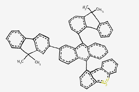 CC1(C)c2ccccc2-c2ccc(-c3ccc4c(-c5cccc6sc7ccccc7c56)c5ccccc5c(-c5cccc6c5-c5ccccc5C6(C)C)c4c3)cc21